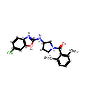 COc1cccc(OC)c1C(=O)N1CCC(Nc2nc3ccc(Cl)cc3o2)C1